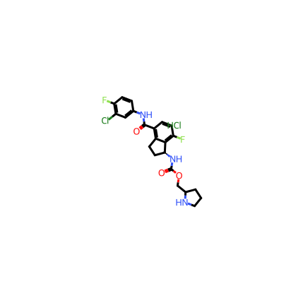 Cl.O=C(N[C@H]1CCc2c(C(=O)Nc3ccc(F)c(Cl)c3)ccc(F)c21)OCC1CCCN1